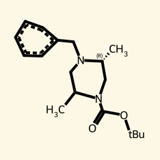 CC1CN(Cc2ccccc2)[C@H](C)CN1C(=O)OC(C)(C)C